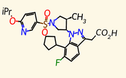 CC(C)Oc1ccc(S(=O)(=O)N2C[C@@H](C)[C@@H](n3nc(CC(=O)O)c4ccc(F)c(C5CCCC5)c43)C2)cn1